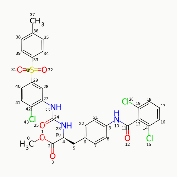 COC(=O)[C@H](Cc1ccc(NC(=O)c2c(Cl)cccc2Cl)cc1)NC(=O)Nc1cc(S(=O)(=O)c2ccc(C)cc2)ccc1Cl